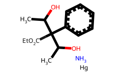 CCOC(=O)C(c1ccccc1)(C(C)O)C(C)O.N.[Hg]